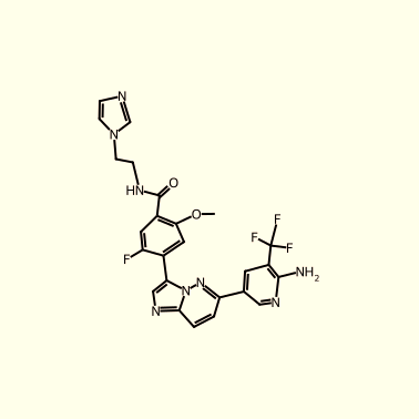 COc1cc(-c2cnc3ccc(-c4cnc(N)c(C(F)(F)F)c4)nn23)c(F)cc1C(=O)NCCn1ccnc1